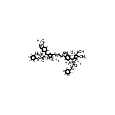 CCn1nnc2c(C)c([C@H](c3cc(COCCn4nnc5c(C)c([C@@H](c6cc(CO)c(C)s6)C(C)(C)C(=O)OCc6ccccc6)ccc54)c(C)s3)C(C)(C)C(=O)OCc3ccccc3)ccc21